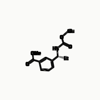 CC[C@@H](NC(=O)OC(C)(C)C)c1cccc(C(=O)OC)c1